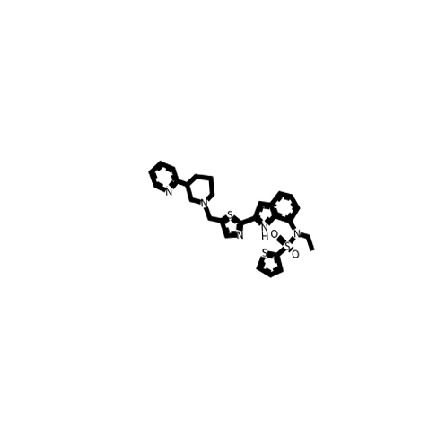 CCN(c1cccc2cc(-c3ncc(CN4CCCC(c5ccccn5)C4)s3)[nH]c12)S(=O)(=O)c1cccs1